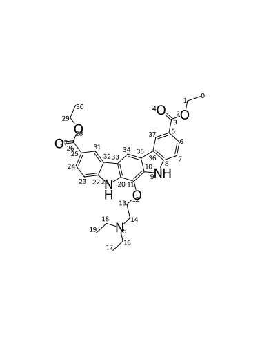 CCOC(=O)c1ccc2[nH]c3c(OCCN(CC)CC)c4[nH]c5ccc(C(=O)OCC)cc5c4cc3c2c1